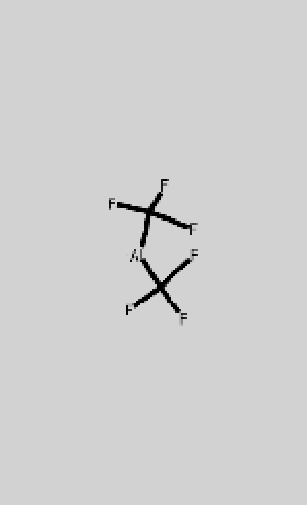 F[C](F)(F)[Al][C](F)(F)F